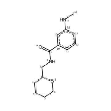 O=C(NCC1CCCCO1)c1cccc(NI)c1